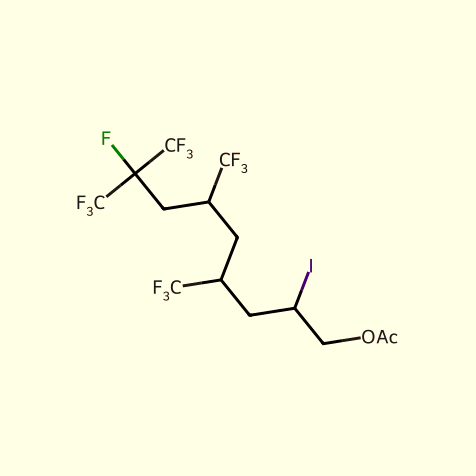 CC(=O)OCC(I)CC(CC(CC(F)(C(F)(F)F)C(F)(F)F)C(F)(F)F)C(F)(F)F